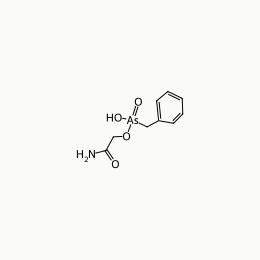 NC(=O)CO[As](=O)(O)Cc1ccccc1